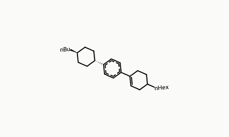 CCCCCCC1CC=C(c2ccc([C@H]3CC[C@H](CCCC)CC3)cc2)CC1